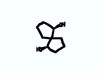 O[C@@H]1CCCC12CCC[C@H]2O